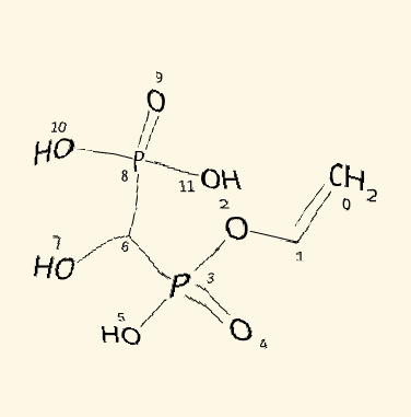 C=COP(=O)(O)C(O)P(=O)(O)O